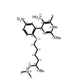 CSC1=NC(c2cc([N+](=O)[O-])ccc2SCCCCC(O[SiH](C)C)C(C)(C)C)C(C(=O)O)=C(C)N1